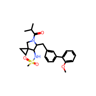 COc1ccccc1-c1cccc(CC2C(NS(C)(=O)=O)C3(CC3)CN2C(=O)C(C)C)c1